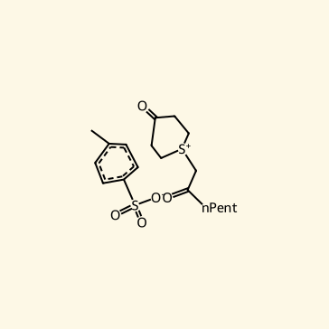 CCCCCC(=O)C[S+]1CCC(=O)CC1.Cc1ccc(S(=O)(=O)[O-])cc1